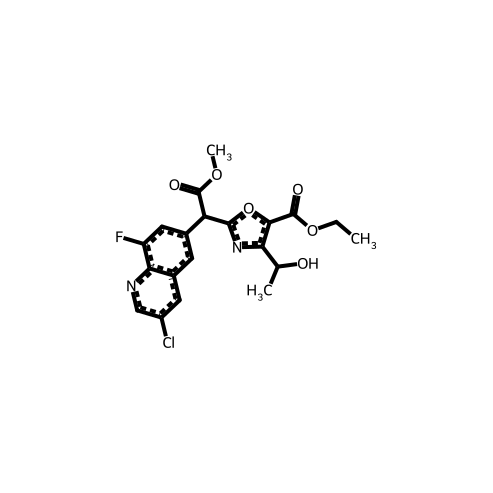 CCOC(=O)c1oc(C(C(=O)OC)c2cc(F)c3ncc(Cl)cc3c2)nc1C(C)O